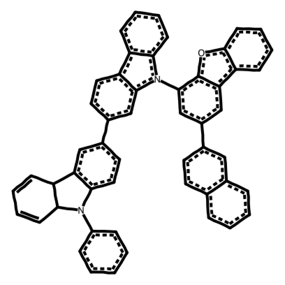 C1=CC2c3cc(-c4ccc5c6ccccc6n(-c6cc(-c7ccc8ccccc8c7)cc7c6oc6ccccc67)c5c4)ccc3N(c3ccccc3)C2C=C1